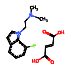 CN(C)CCn1ccc2cccc(F)c21.O=C(O)/C=C/C(=O)O